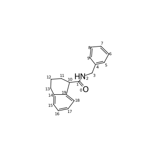 O=C(NCc1ccccc1)C1CCCc2ccccc21